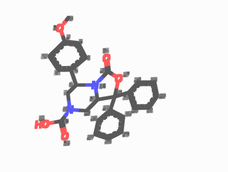 COc1ccc(C2CN(C(=O)O)CC3N2C(=O)OC3(c2ccccc2)c2ccccc2)cc1